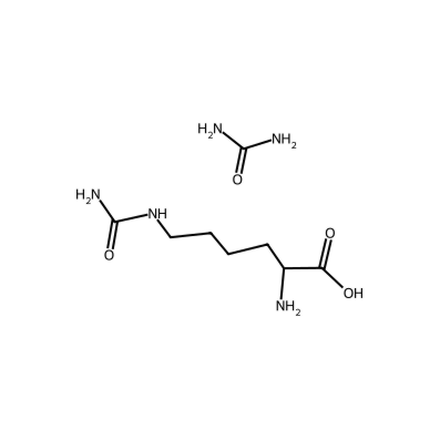 NC(=O)NCCCCC(N)C(=O)O.NC(N)=O